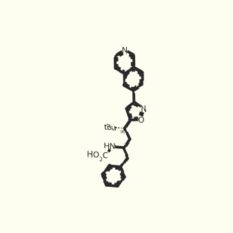 CC(C)(C)[C@@H](CC(Cc1ccccc1)NC(=O)O)c1cc(-c2ccc3cnccc3c2)no1